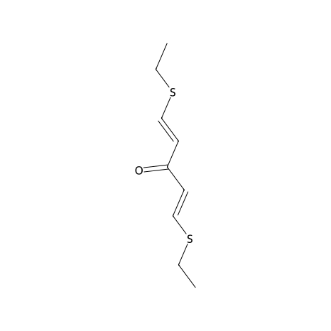 CCSC=CC(=O)C=CSCC